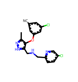 Cc1n[nH]c(CNCc2ccc(Cl)cn2)c1Oc1cc(Cl)cc(C#N)c1